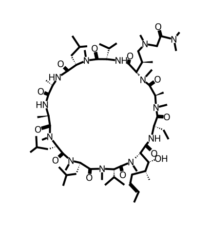 C/C=C/C[C@@H](C)[C@@H](O)[C@H]1C(=O)N[C@@H](CC)C(=O)N(C)[C@H](C)C(=O)N(C)[C@@H]([C@H](C)CN(C)CC(=O)N(C)C)C(=O)N[C@@H](C(C)C)C(=O)N(C)[C@@H](CC(C)C)C(=O)N[C@@H](C)C(=O)N[C@H](C)C(=O)N(C)[C@@H](CC(C)C)C(=O)N(C)[C@@H](CC(C)C)C(=O)N(C)[C@@H](C(C)C)C(=O)N1C